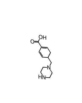 O=C(O)C1=CCC(CN2CCNCC2)C=C1